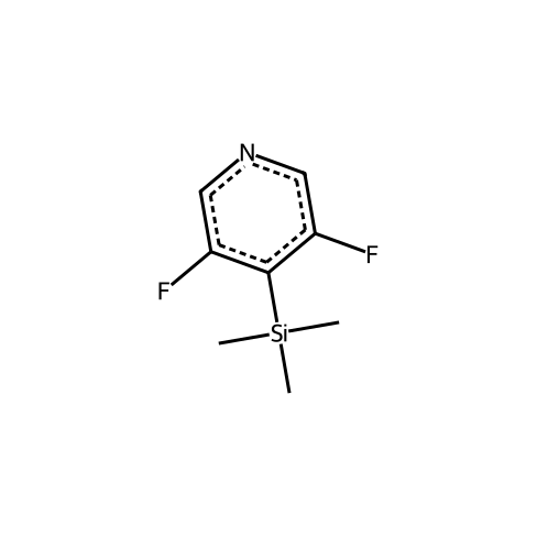 C[Si](C)(C)c1c(F)cncc1F